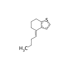 CCCC=C1CCCc2sccc21